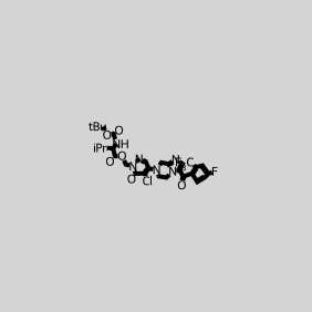 CC(C)C(NC(=O)OC(C)(C)C)C(=O)OCn1ncc(N2CCn3c(C(=O)c4ccc(F)cc4C(F)(F)F)cnc3C2)c(Cl)c1=O